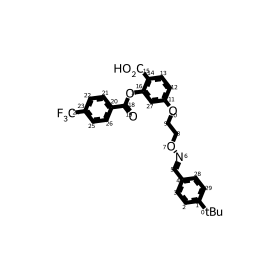 CC(C)(C)c1ccc(C=NOCCOc2ccc(C(=O)O)c(OC(=O)c3ccc(C(F)(F)F)cc3)c2)cc1